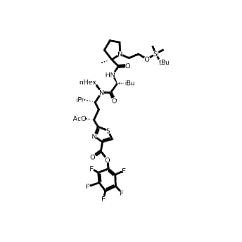 CCCCCCN(C(=O)[C@@H](NC(=O)[C@@]1(C)CCCN1CCO[Si](C)(C)C(C)(C)C)[C@@H](C)CC)[C@H](C[C@@H](OC(C)=O)c1nc(C(=O)Oc2c(F)c(F)c(F)c(F)c2F)cs1)C(C)C